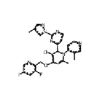 CC1=CC(OCc2ncc(F)cc2F)=C(Cl)C(c2ccnc(-n3cc(C)cn3)n2)N1c1ccncc1C